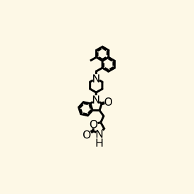 Cc1cccc2cccc(CN3CCC(N4C(=O)C(CC5CNC(=O)O5)c5ccccc54)CC3)c12